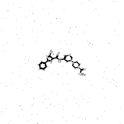 COC(=O)N1CCN(N2C=NC=C(NC(=O)c3nc(-c4ccccc4)oc3C(F)(F)F)C2)CC1